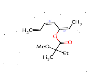 C=C/C=C\C(=C/C)OC(=O)C(C)(CC)OC